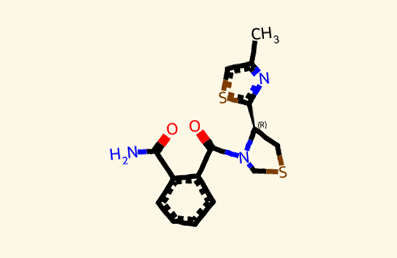 Cc1csc([C@H]2CSCN2C(=O)c2ccccc2C(N)=O)n1